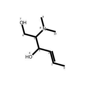 C/C=C/C(O)C(CO)N(C)C